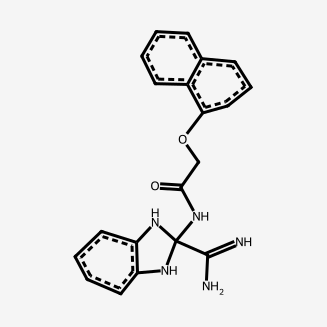 N=C(N)C1(NC(=O)COc2cccc3ccccc23)Nc2ccccc2N1